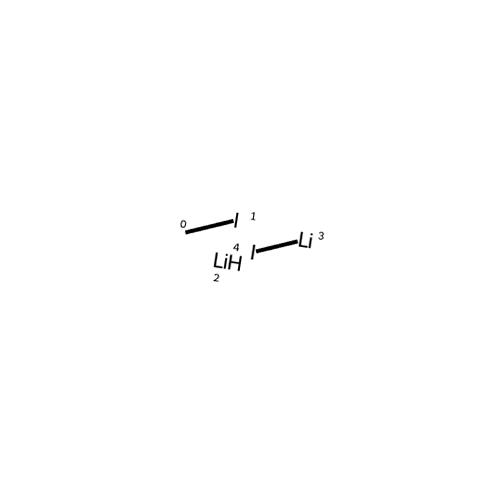 CI.[LiH].[Li][I]